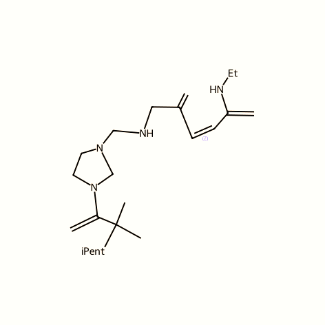 C=C(/C=C\C(=C)NCC)CNCN1CCN(C(=C)C(C)(C)C(C)CCC)C1